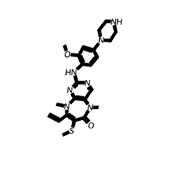 C=CC1=C(SC)C(=O)N(C)c2cnc(Nc3ccc(N4CCNCC4)cc3OC)nc2N1C